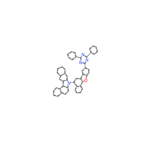 c1ccc(-c2nc(-c3ccccc3)nc(-c3ccc4oc5c6ccccc6c(-n6c7cc8ccccc8cc7c7c8ccccc8ccc76)cc5c4c3)n2)cc1